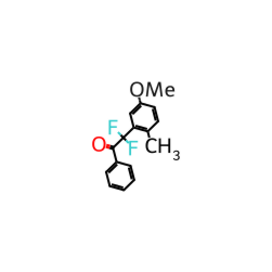 COc1ccc(C)c(C(F)(F)C(=O)c2ccccc2)c1